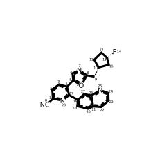 N#Cc1ccc(-c2cnc(C[C@@H]3CC[C@H](F)C3)o2)c(-c2ccc3cccnc3c2)n1